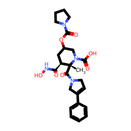 C[C@@]1(C(=O)N2CC=C(c3ccccc3)C2)[C@@H](C(=O)NO)CC(OC(=O)N2CCCC2)CN1C(=O)O